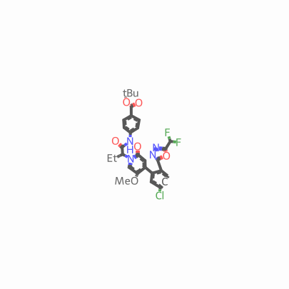 CCC(C(=O)Nc1ccc(C(=O)OC(C)(C)C)cc1)n1cc(OC)c(-c2cc(Cl)ccc2-c2nnc(C(F)F)o2)cc1=O